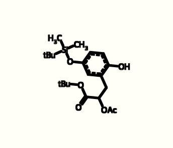 CC(=O)OC(Cc1cc(O[Si](C)(C)C(C)(C)C)ccc1O)C(=O)OC(C)(C)C